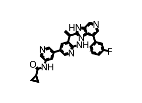 C=C(c1nc2c(-c3cccc(F)c3)cncc2[nH]1)c1cc(-c2cncc(NC(=O)C3CC3)c2)cnc1N